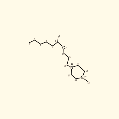 CCCCCC(C)OCCCN1CCN(C)CC1